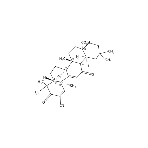 C#C[C@@]12CC[C@H]3C(C)(C)C(=O)C(C#N)=C[C@]3(C)C1=CC(=O)[C@@H]1[C@@H]3CC(C)(C)CC[C@]3(C(=O)O)CC[C@]12C